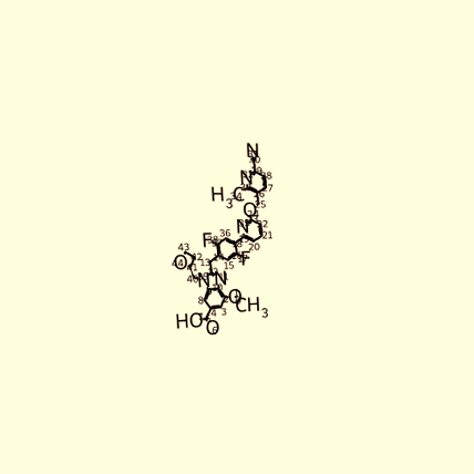 COc1cc(C(=O)O)cc2c1nc(Cc1cc(F)c(-c3cccc(OCc4ccc(C#N)nc4C)n3)cc1F)n2C[C@@H]1CCO1